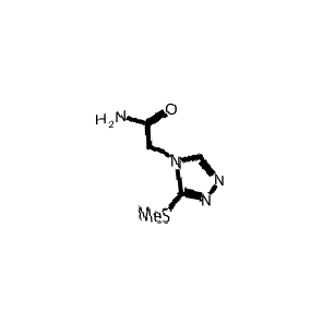 [CH2]Sc1nncn1CC(N)=O